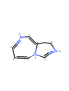 C1=CN2C=NCC2=CN=C1